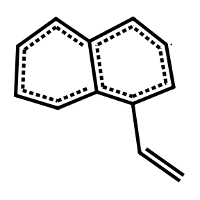 C=Cc1c[c]cc2ccccc12